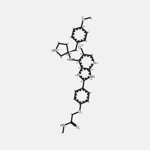 CNC(=O)COc1ccc(-c2nc3c(N[C@@]4(Cc5ccc(OC)cc5)CCNC4)c(Cl)cnc3[nH]2)cc1